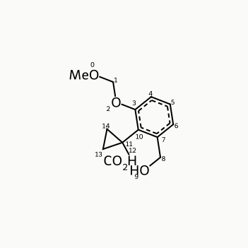 COCOc1cccc(CO)c1C1(C(=O)O)CC1